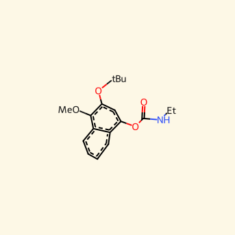 CCNC(=O)Oc1cc(OC(C)(C)C)c(OC)c2ccccc12